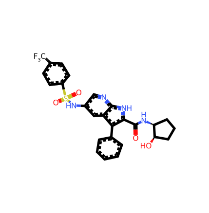 O=C(N[C@H]1CCC[C@H]1O)c1[nH]c2ncc(NS(=O)(=O)c3ccc(C(F)(F)F)cc3)cc2c1-c1ccccc1